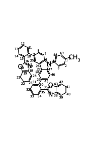 Cc1ccc(-n2c3ccc(-c4ccccc4-c4nc5c(o4)CCC=C5)cc3c3cc(-c4ccccc4-c4nc5ccccc5o4)ccc32)cc1